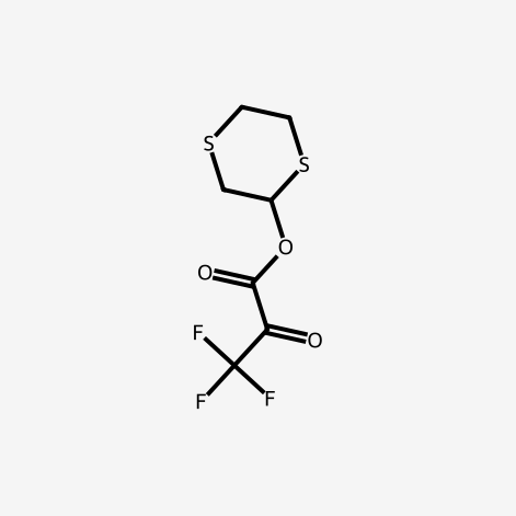 O=C(OC1CSCCS1)C(=O)C(F)(F)F